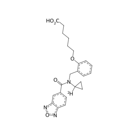 [2H]C1(N(Cc2ccccc2OCCCCCC(=O)O)C(=O)c2ccc3nonc3c2)CC1